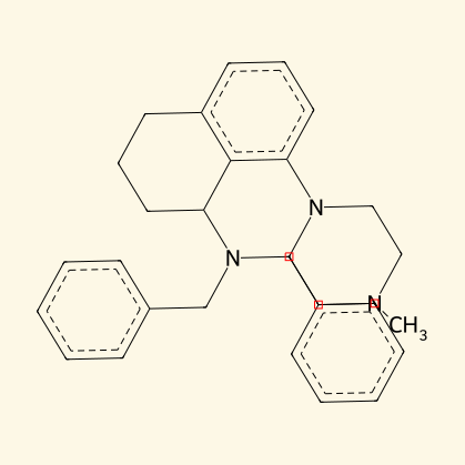 CN1CCN(c2cccc3c2C(N(Cc2ccccc2)Cc2ccccc2)CCC3)CC1